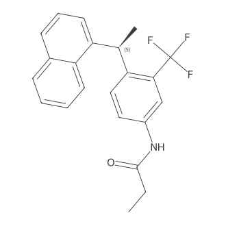 CCC(=O)Nc1ccc([C@H](C)c2cccc3ccccc23)c(C(F)(F)F)c1